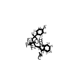 [C-]#[N+]c1c(CC(O)(CC(C)(C)c2ccc(F)cc2)C(F)(F)F)[nH]c2ccccc12